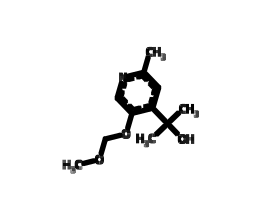 COCOc1cnc(C)cc1C(C)(C)O